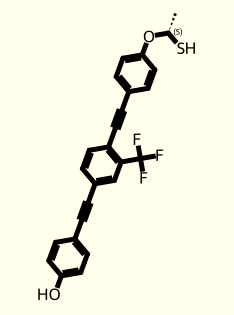 C[C@H](S)Oc1ccc(C#Cc2ccc(C#Cc3ccc(O)cc3)cc2C(F)(F)F)cc1